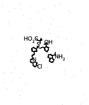 CC(C)(O)c1ccccc1CC[C@@H](SCC1(CC(=O)O)CC1)c1cccc(C=Cc2ccc3ccc(Cl)cc3n2)c1.CC(N)c1cccc2ccccc12